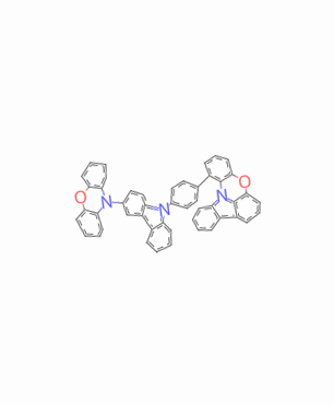 c1ccc2c(c1)Oc1ccccc1N2c1ccc2c(c1)c1ccccc1n2-c1ccc(-c2cccc3c2-n2c4ccccc4c4cccc(c42)O3)cc1